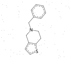 c1ccc(CN2CCc3sccc3C2)cc1